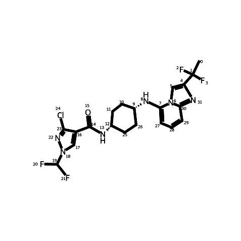 CC(F)(F)c1cn2c(N[C@H]3CC[C@@H](NC(=O)c4cn(C(F)F)nc4Cl)CC3)cccc2n1